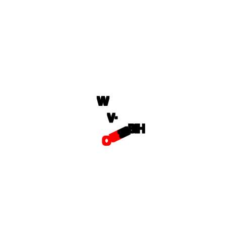 [O]=[BiH].[V].[W]